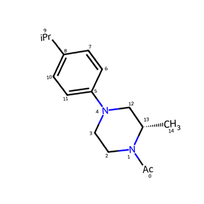 CC(=O)N1CCN(c2ccc(C(C)C)cc2)C[C@@H]1C